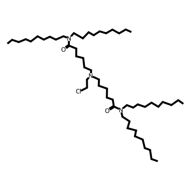 CCCCCCCCCCN(CCCCCCCCCC)C(=O)CCCCCN(CCCl)CCCCCC(=O)N(CCCCCCCCCC)CCCCCCCCCC